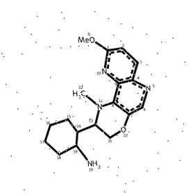 COc1ccc2ncc3c(c2n1)N(C)C(C1CCCCC1N)CO3